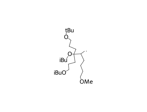 [CH2]C(CCCCOC)C(CCCOCC(C)C)(CCCOC(C)(C)C)OC(C)CC